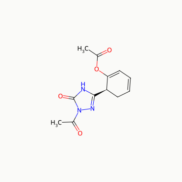 CC(=O)OC1=CC=CC[C@H]1c1nn(C(C)=O)c(=O)[nH]1